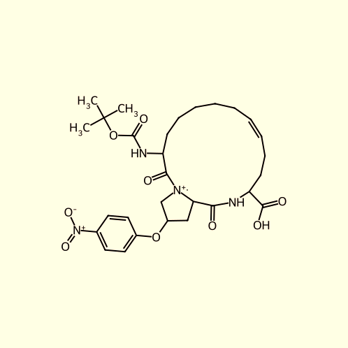 CC(C)(C)OC(=O)NC1CCCCCC=CCCC(C(=O)O)NC(=O)C2CC(Oc3ccc([N+](=O)[O-])cc3)C[N+]2C1=O